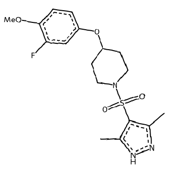 COc1ccc(OC2CCN(S(=O)(=O)c3c(C)n[nH]c3C)CC2)cc1F